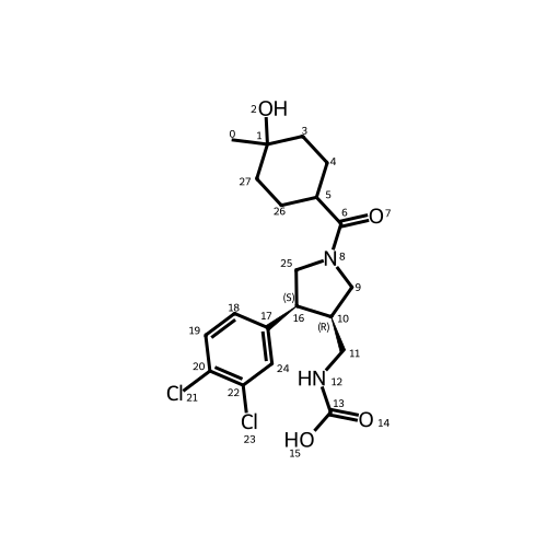 CC1(O)CCC(C(=O)N2C[C@@H](CNC(=O)O)[C@@H](c3ccc(Cl)c(Cl)c3)C2)CC1